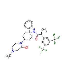 CC(C(=O)NC1(c2ccccc2)CCC(N2CCN(C)CC2=O)CC1)c1cc(C(F)(F)F)cc(C(F)(F)F)c1